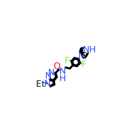 CCn1ccc2cc(C(=O)NCCc3cc(F)c(N4CC5CCCC4CN5)cc3F)nnc21